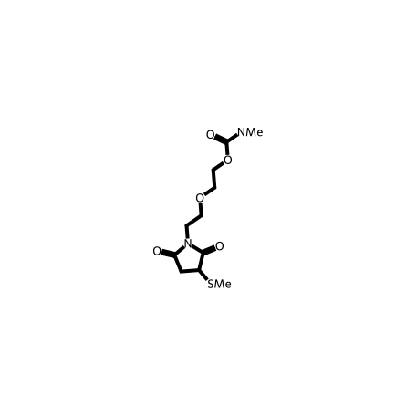 CNC(=O)OCCOCCN1C(=O)CC(SC)C1=O